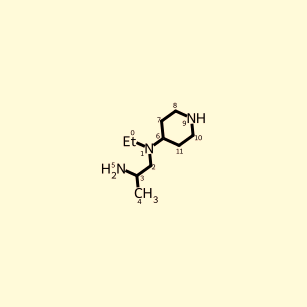 CCN(CC(C)N)C1CCNCC1